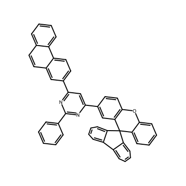 c1ccc(-c2nc(-c3ccc4c(c3)C3(c5ccccc5O4)c4ccccc4-c4ccccc43)cc(-c3ccc4c(ccc5ccccc54)c3)n2)cc1